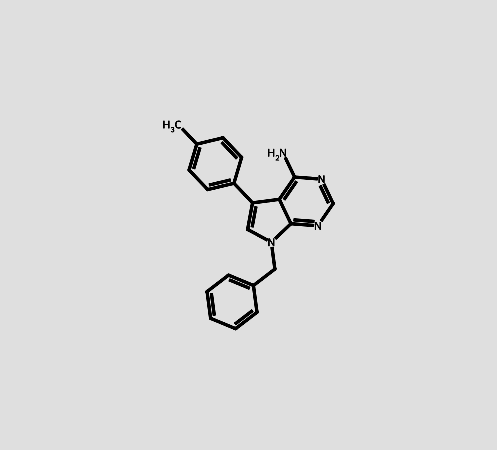 Cc1ccc(-c2cn(Cc3ccccc3)c3ncnc(N)c23)cc1